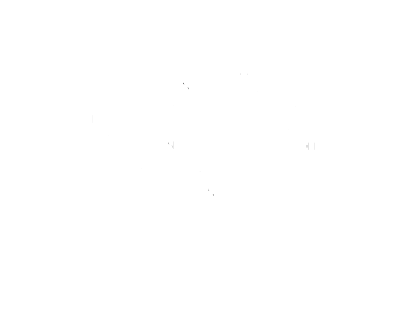 CN(C)CCn1c2c(c3ccc(Cl)cc31)Oc1ccccc1N(Cc1ccccc1)C2=O.O=C(O)/C=C\C(=O)O